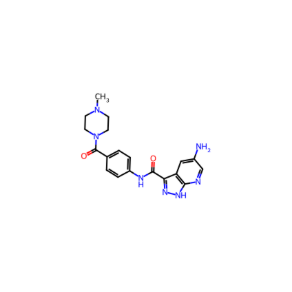 CN1CCN(C(=O)c2ccc(NC(=O)c3n[nH]c4ncc(N)cc34)cc2)CC1